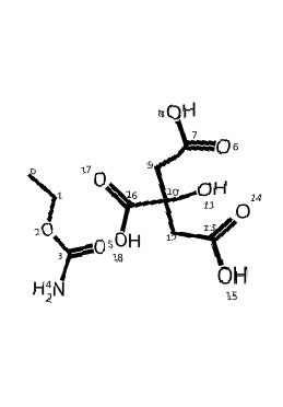 CCOC(N)=O.O=C(O)CC(O)(CC(=O)O)C(=O)O